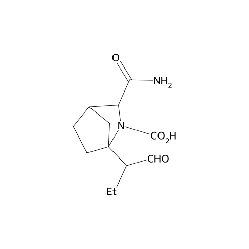 CCC(C=O)C12CCC(C1)C(C(N)=O)N2C(=O)O